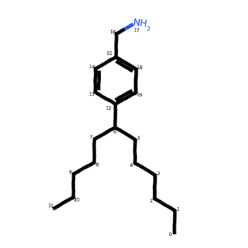 CCCCCCC(CCCCC)c1ccc(CN)cc1